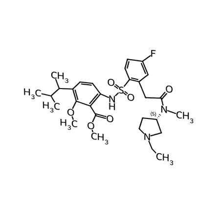 CCN1CC[C@H](N(C)C(=O)Cc2cc(F)ccc2S(=O)(=O)Nc2ccc(C(C)C(C)C)c(OC)c2C(=O)OC)C1